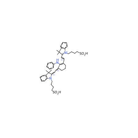 CC1(C)C(/C=C/C2=C(Nc3ccccc3)C(=C/C=C3/N(CCCCS(=O)(=O)O)c4ccccc4C3(C)C)/CCC2)=[N+](CCCCS(=O)(=O)O)c2ccccc21